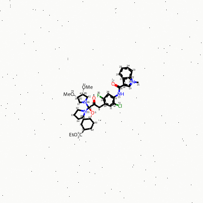 CCOC(=O)[C@H]1CC[C@H](OC(C(=O)Cc2cc(Cl)c(NC(=O)c3cn(C)c4ccccc34)cc2F)(N2CCCC2)N2C[C@H](OC)[C@H](OC)C2)CC1